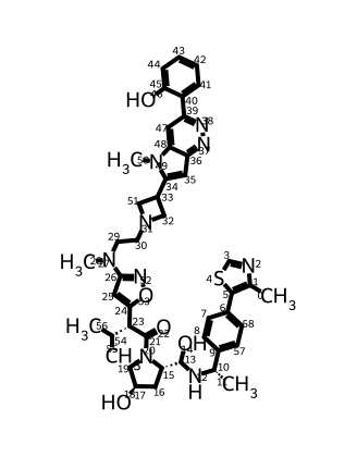 Cc1ncsc1-c1ccc([C@H](C)NC(O)[C@@H]2C[C@@H](O)CN2C(=O)[C@@H](c2cc(N(C)CCN3CC(c4cc5nnc(-c6ccccc6O)cc5n4C)C3)no2)C(C)C)cc1